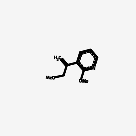 C=C(COC)c1cccnc1OC